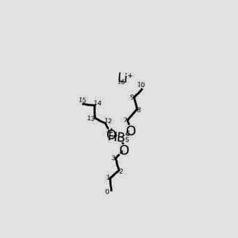 CCCCO[BH-](OCCCC)OCCCC.[Li+]